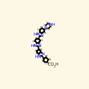 O=C(O)c1ccc(-c2nc3cc(-c4nc5cc(-c6nc7cc(N8CCNCC8)ccc7[nH]6)ccc5[nH]4)ccc3[nH]2)cc1